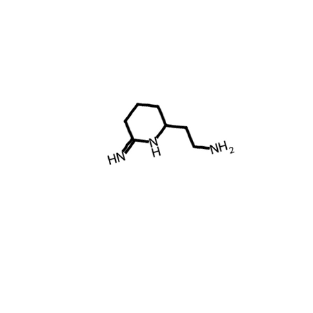 N=C1CCCC(CCN)N1